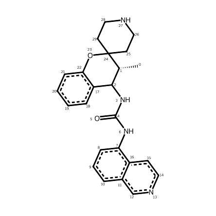 C[C@@H]1C(NC(=O)Nc2cccc3cnccc23)c2ccccc2OC12CCNCC2